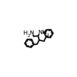 NCC(N)C(Cc1ccccc1)Cc1ccccc1